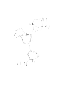 Nc1cc(-c2cc3nccn3c(N3C[C@@H]4C[C@H]3CN4)n2)ccn1